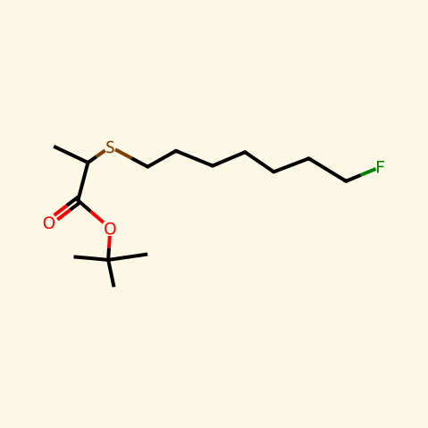 CC(SCCCCCCCF)C(=O)OC(C)(C)C